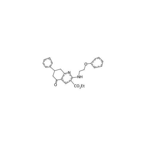 CCOC(=O)c1cc2c(nc1NCCOc1ccccc1)CC(c1ccccc1)CC2=O